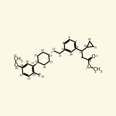 COC(=O)CC(c1cccc(CC[C@H]2CC[C@H](c3cc(OC)ccc3F)CC2)c1)C1CC1